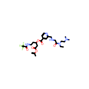 C=C(C)OC(=O)CC(CCNC(=O)C(F)(F)F)OC(=O)c1ccnc(CNCC(=O)N(CC)CCN(C)C)c1